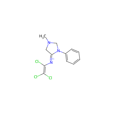 CN1C/C(=N\C(Cl)=C(Cl)Cl)N(c2ccccc2)C1